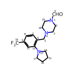 O=CN1CCN(Cc2ccc(C(F)(F)F)cc2N2CCCC2)CC1